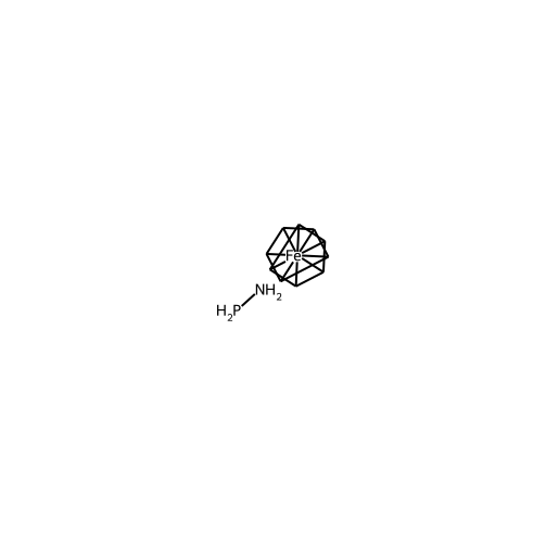 NP.[CH]12[CH]3[CH]4[CH]5[CH]1[Fe]23451678[CH]2[CH]1[CH]6[CH]7[CH]28